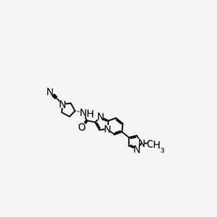 Cn1cc(-c2ccc3nc(C(=O)N[C@@H]4CCN(C#N)C4)cn3c2)cn1